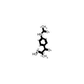 CC(=O)Nc1ccc(C(=O)C(C)=NO)cc1